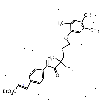 CCOC(=O)/C=C/c1ccc(NC(=O)C(C)(C)CCCOc2cc(C)c(O)cc2C)cc1